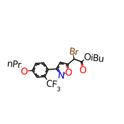 CCCOc1ccc(-c2cc(C(Br)C(=O)OCC(C)C)on2)c(C(F)(F)F)c1